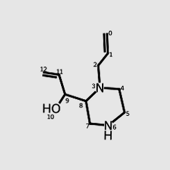 C=CCN1CCNCC1C(O)C=C